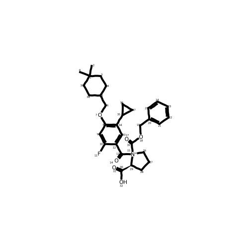 CC1(C)CCC(COc2cc(F)c(C(=O)[N+]3(C(=O)OCc4ccccc4)CCC[C@H]3C(=O)O)cc2C2CC2)CC1